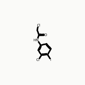 O=C(CCl)Nc1ccc(I)c(Cl)c1